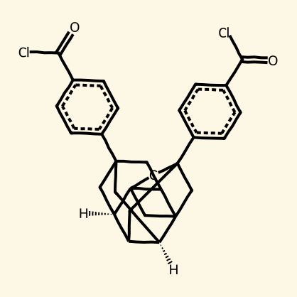 O=C(Cl)c1ccc(C23CC4C56CC7(c8ccc(C(=O)Cl)cc8)CC([C@H]5C2)[C@@H](C3)C4(C7)C6)cc1